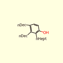 CCCCCCCCCCc1ccc(O)c(CCCCCCC)c1CCCCCCCCCC